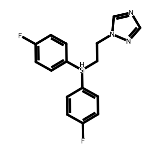 Fc1ccc([SiH](CCn2cncn2)c2ccc(F)cc2)cc1